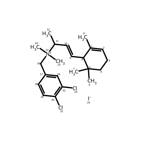 CC1=CCCC(C)(C)C1C=CC(C)[N+](C)(C)Cc1ccc(Cl)c(Cl)c1.[I-]